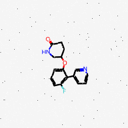 O=C1CCC(Oc2c[c]cc(F)c2-c2cccnc2)CN1